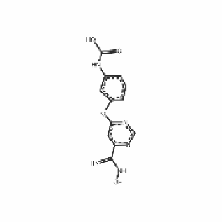 N=C(NO)c1cc(Oc2cccc(NC(=O)O)c2)ncn1